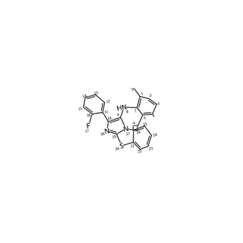 Cc1cccc(Cl)c1Nc1c(-c2ccccc2F)nc2sc3ccccc3n12